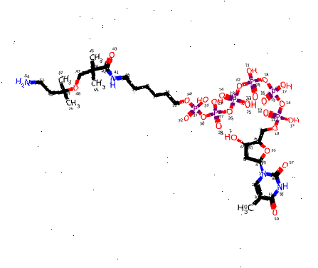 Cc1cn([C@H]2C[C@@H](O)C(COP(=O)(O)OP(=O)(O)OP(=O)(O)OP(=O)(O)OP(=O)(O)OP(=O)(O)OCCCCCCNC(=O)C(C)(C)COC(C)(C)CCN)O2)c(=O)[nH]c1=O